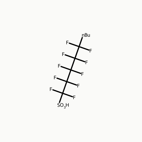 CCCCC(F)(F)C(F)(F)C(F)(F)C(F)(F)C(F)(F)S(=O)(=O)O